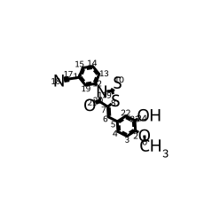 COc1ccc(/C=C2\SC(=S)N(c3cccc(C#N)c3)C2=O)cc1O